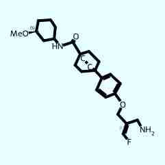 CO[C@H]1CCCC(NC(=O)C23CCC(c4ccc(OC/C(=C/F)CN)cc4)(CC2)CC3)C1